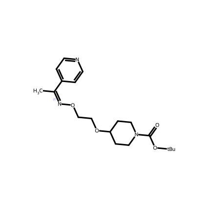 C/C(=N/OCCOC1CCN(C(=O)OC(C)(C)C)CC1)c1ccncc1